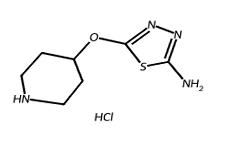 Cl.Nc1nnc(OC2CCNCC2)s1